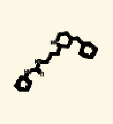 O=C(NCCCC1CC(Cc2ccccc2)CCN1)Nc1ccccc1